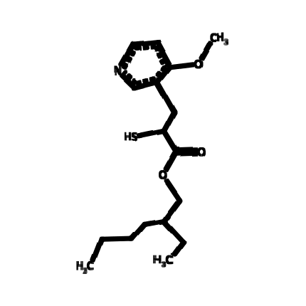 CCCCC(CC)COC(=O)C(S)Cc1cnccc1OC